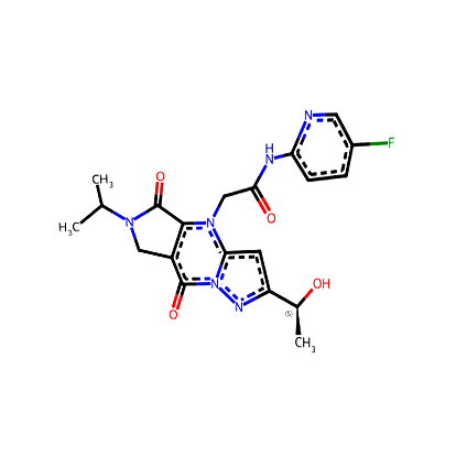 CC(C)N1Cc2c(n(CC(=O)Nc3ccc(F)cn3)c3cc([C@H](C)O)nn3c2=O)C1=O